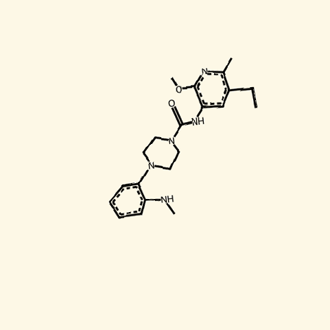 CCc1cc(NC(=O)N2CCN(c3ccccc3NC)CC2)c(OC)nc1C